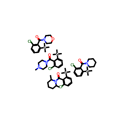 CC1CCCC(C)N1C(=O)c1c(Cl)cccc1[Si](C)(C)C.CN1CCN(C(=O)c2c(Cl)cccc2[Si](C)(C)C)CC1.C[Si](C)(C)c1cccc(Cl)c1C(=O)N1CCCCC1.C[Si](C)(C)c1cccc(Cl)c1C(=O)N1CCOCC1